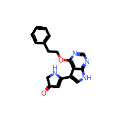 O=C1C=C(c2c[nH]c3ncnc(OCCc4ccccc4)c23)NC1